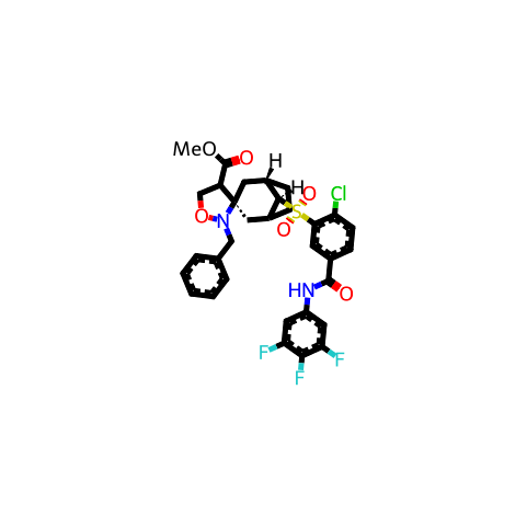 COC(=O)C1CON(Cc2ccccc2)[C@@]12CC1CC[C@@H](C2)[C@H]1S(=O)(=O)c1cc(C(=O)Nc2cc(F)c(F)c(F)c2)ccc1Cl